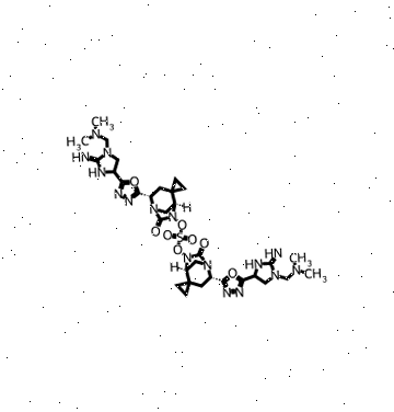 CN(C)CN1CC(c2nnc([C@@H]3CC4(CC4)[C@@H]4CN3C(=O)N4OS(=O)(=O)ON3C(=O)N4C[C@H]3C3(CC3)C[C@H]4c3nnc(C4CN(CN(C)C)C(=N)N4)o3)o2)NC1=N